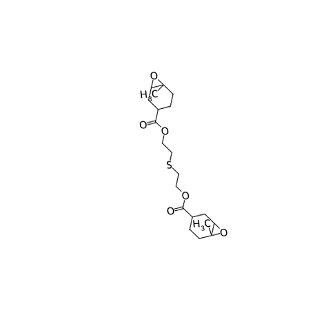 CC12CCC(C(=O)OCCSCCOC(=O)C3CCC4(C)OC4C3)CC1O2